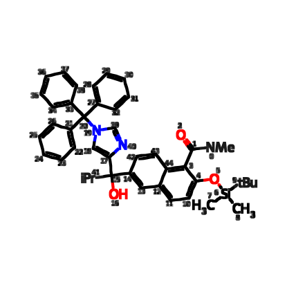 CNC(=O)c1c(O[Si](C)(C)C(C)(C)C)ccc2cc(C(O)(c3cn(C(c4ccccc4)(c4ccccc4)c4ccccc4)cn3)C(C)C)ccc12